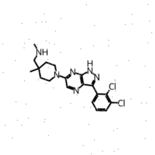 CNCC1(C)CCN(c2cnc3c(-c4cccc(Cl)c4Cl)n[nH]c3n2)CC1